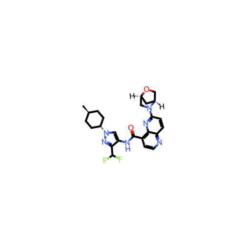 C[C@H]1CC[C@H](n2cc(NC(=O)c3ccnc4ccc(N5C[C@@H]6C[C@H]5CO6)nc34)c(C(F)F)n2)CC1